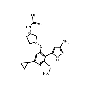 COc1nc(C2CC2)cc(O[C@@H]2CC[C@H](NC(=O)O)C2)c1-c1cc(N)n[nH]1